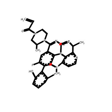 C=CC(=O)N1CCN(/C(=N/C)c2cc(F)c(-c3c(O)cccc3F)nc2N(C=O)c2c([S+](C)[O-])ccnc2C(C)C)C(C)C1